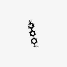 CCCC[C@H]1CC[C@H](c2ccc(-c3ccc(Cl)nc3)cc2)CC1